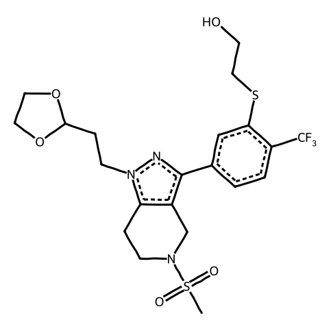 CS(=O)(=O)N1CCc2c(c(-c3ccc(C(F)(F)F)c(SCCO)c3)nn2CCC2OCCO2)C1